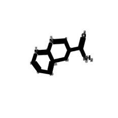 NC(=O)C1C=Nc2ncccc2C1